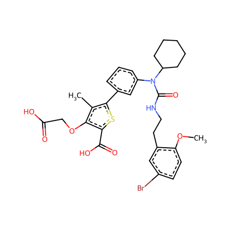 COc1ccc(Br)cc1CCNC(=O)N(c1cccc(-c2sc(C(=O)O)c(OCC(=O)O)c2C)c1)C1CCCCC1